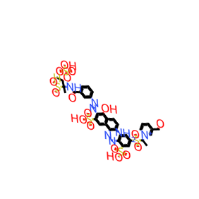 CC(OS(=O)(=O)O)C(C)(NC(=O)c1cccc(N=Nc2c(S(=O)(=O)O)cc3c(/N=N\c4ccc(S(=O)(=O)C(C)[n+]5cccc(C=O)c5)cc4S(=O)(=O)O)c(N)ccc3c2O)c1)[SH](=O)=O